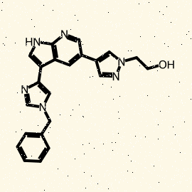 OCCn1cc(-c2cnc3[nH]cc(-c4cn(Cc5ccccc5)cn4)c3c2)cn1